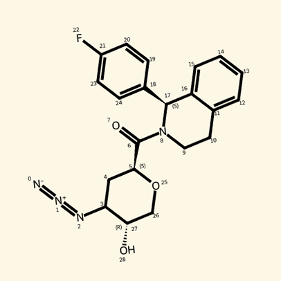 [N-]=[N+]=NC1C[C@@H](C(=O)N2CCc3ccccc3[C@@H]2c2ccc(F)cc2)OC[C@@H]1O